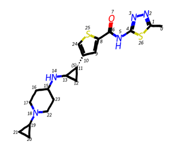 Cc1nnc(NC(=O)c2cc([C@@H]3CC3NC3CCN(C4CC4)CC3)cs2)s1